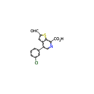 O=Cc1cc2c(-c3cccc(Cl)c3)cnc(C(=O)O)c2s1